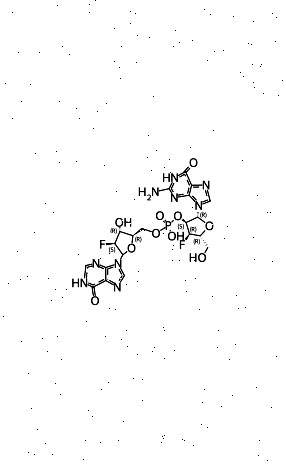 Nc1nc2c(ncn2[C@@H]2O[C@H](CO)[C@@H](F)[C@H]2OP(=O)(O)OC[C@H]2OC(n3cnc4c(=O)[nH]cnc43)[C@@H](F)[C@@H]2O)c(=O)[nH]1